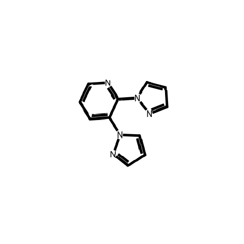 c1cnc(-n2cccn2)c(-n2cccn2)c1